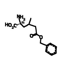 CC(CC(=O)OCc1ccccc1)C[C@@H](N)C(=O)O